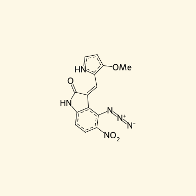 COc1cc[nH]c1/C=C1\C(=O)Nc2ccc([N+](=O)[O-])c(N=[N+]=[N-])c21